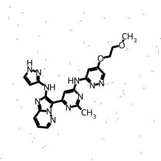 COCCOc1cnnc(Nc2cc(-c3c(Nc4cc[nH]n4)nc4cccnn34)nc(C)n2)c1